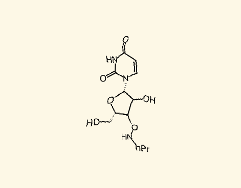 CCCNOC1C(O)[C@@H](n2ccc(=O)[nH]c2=O)O[C@H]1CO